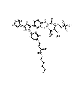 CCCCCCNC(=O)C=Cc1ccc(-c2sc(-c3ccc[nH]3)nc2-c2ccc(OCC(=O)N(CCS(=O)(=O)O)C(CO)C(O)O)cc2)cc1